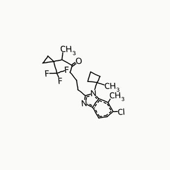 Cc1c(Cl)ccc2nc(CCCC(=O)C(C)C3(C(F)(F)F)CC3)n(C3(C)CCC3)c12